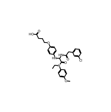 CCN(C(=O)C(NC(=O)Cc1cccc(Cl)c1)Nc1ccc(OCCCC(=O)O)cc1)c1ccc(OC)cc1